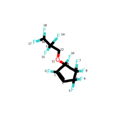 FC1=CC(F)(F)C(F)(F)C1(F)OCC(F)(F)C(F)F